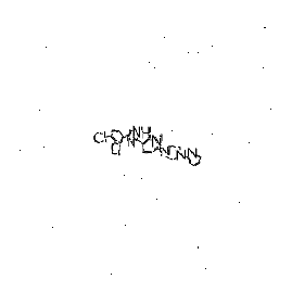 Clc1ccc(-c2c[nH]c(-c3ccc(N4CCN(c5ccccn5)CC4)nc3)n2)cc1Cl